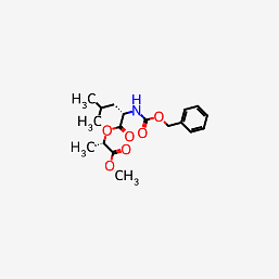 COC(=O)[C@H](C)OC(=O)[C@H](CC(C)C)NC(=O)OCc1ccccc1